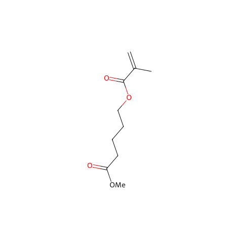 C=C(C)C(=O)OCCCCC(=O)OC